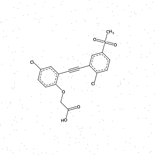 CS(=O)(=O)c1ccc(Cl)c(C#Cc2cc(Cl)ccc2OCC(=O)O)c1